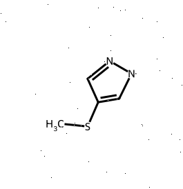 CSC1=C[N]N=C1